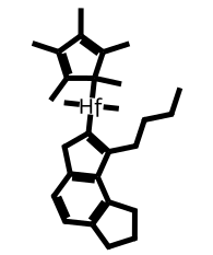 CCCCC1=[C]([Hf]([CH3])([CH3])[C]2(C)C(C)=C(C)C(C)=C2C)Cc2ccc3c(c21)CCC3